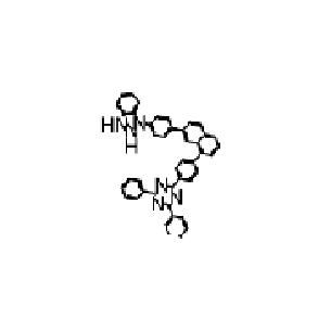 C/C=C\C(=C/C)c1nc(-c2ccccc2)nc(-c2ccc(-c3cccc4ccc(-c5ccc(N6NNc7ccccc76)cc5)cc34)cc2)n1